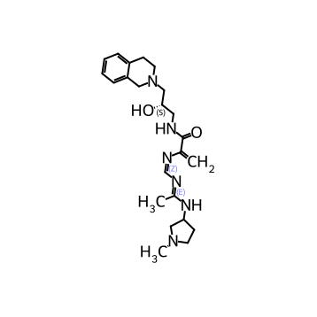 C=C(/N=C\N=C(/C)NC1CCN(C)C1)C(=O)NC[C@H](O)CN1CCc2ccccc2C1